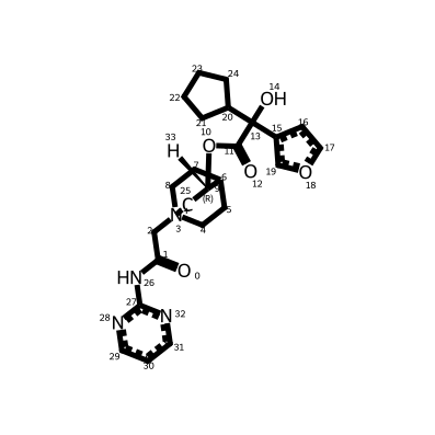 O=C(C[N+]12CCC(CC1)[C@@H](OC(=O)C(O)(c1ccoc1)C1CCCC1)C2)Nc1ncccn1